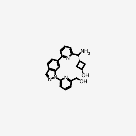 NC(c1cccc(-c2ccc3cnn(-c4cccc(CO)n4)c3c2)n1)[C@H]1C[C@H](O)C1